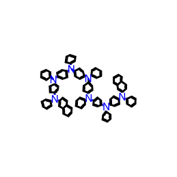 c1ccc(N(c2ccc(N(c3ccccc3)c3ccc(N(c4ccccc4)c4ccc(N(c5ccccc5)c5ccc6ccccc6c5)cc4)cc3)cc2)c2ccc(N(c3ccccc3)c3ccc(N(c4ccccc4)c4ccc(N(c5ccccc5)c5ccc6ccccc6c5)cc4)cc3)cc2)cc1